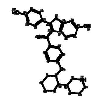 O=C(c1ccc(OC2CCCCC2C2CCCNC2)cc1)c1c(-c2ccc(O)cc2)sc2cc(O)ccc12